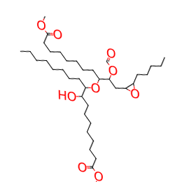 CCCCCCCCC(OC(CCCCCCCC(=O)OC)C(CC1OC1CCCCC)OC=O)C(O)CCCCCCCC(=O)OC